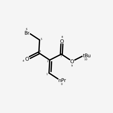 CCCC=C(C(=O)CBr)C(=O)OC(C)(C)C